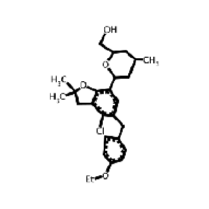 CCOc1ccc(Cc2cc(C3CC(C)CC(CO)O3)c3c(c2Cl)CC(C)(C)O3)cc1